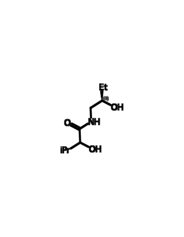 CC[C@@H](O)CNC(=O)C(O)C(C)C